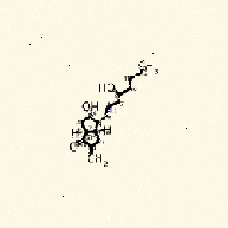 C=C1C[C@H]2[C@H](/C=C/CC(O)CCCC)[C@H](O)C[C@@H]2C1=O